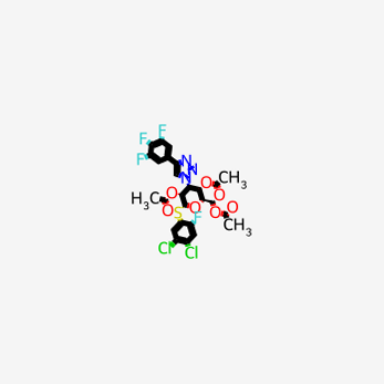 CC(=O)OC[C@H]1O[C@H](Sc2cc(Cl)c(Cl)cc2F)[C@H](OC(C)=O)[C@@H](n2cc(-c3cc(F)c(F)c(F)c3)nn2)[C@H]1OC(C)=O